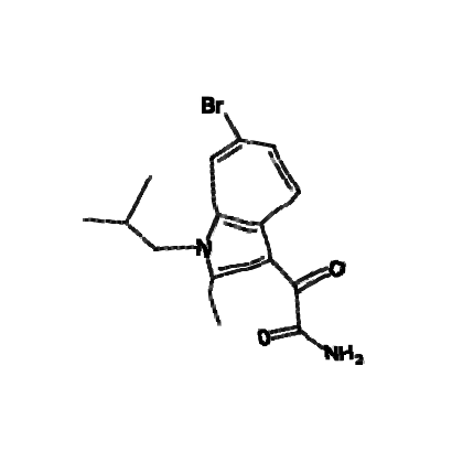 Cc1c(C(=O)C(N)=O)c2ccc(Br)cc2n1CC(C)C